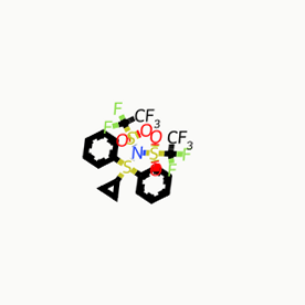 O=S(=O)(N(S(c1ccccc1)(c1ccccc1)C1CC1)S(=O)(=O)C(F)(F)C(F)(F)F)C(F)(F)C(F)(F)F